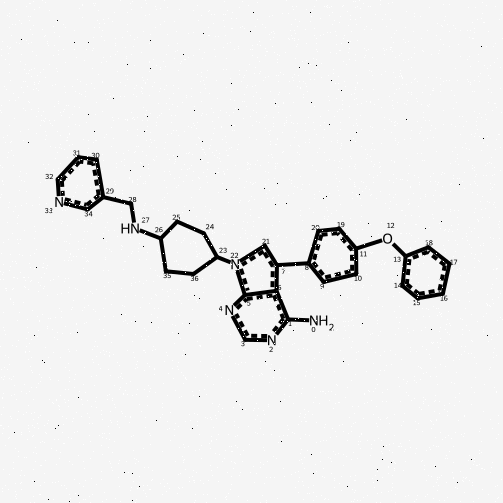 Nc1ncnc2c1c(-c1ccc(Oc3ccccc3)cc1)cn2C1CCC(NCc2cccnc2)CC1